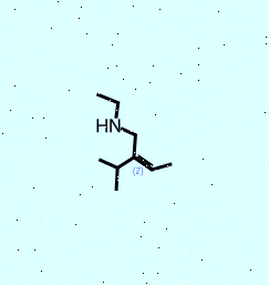 C/C=C(\CNCC)C(C)C